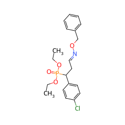 CCOP(=O)(OCC)C(C/C=N/OCc1ccccc1)c1ccc(Cl)cc1